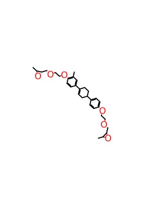 Cc1cc(C2=CCC(c3ccc(OCCOCC4OC4C)cc3)CC2)ccc1OCCOCC1OC1C